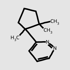 CC1(C)CCCC1(C)c1cccnn1